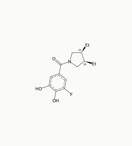 CC[C@@H]1CN(C(=O)c2cc(O)c(O)c(F)c2)C[C@@H]1CC